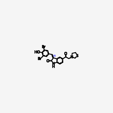 O=C1Nc2ccc(C(=O)CN3CCSC3)cc2/C1=C/c1cc(Br)c(O)c(Br)c1